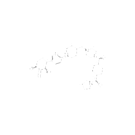 O=C1CCC(c2ccc(N3CCC(CN4CCN(C(=O)C5CCC(C(=O)N6CCCC6)CC5)CC4)CC3)nc2)C(=O)N1